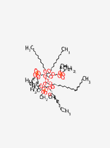 C=CCOP(=O)(OCC=C)OCCO[C@H]1O[C@H](CO[C@@H]2O[C@H](COC)[C@@H](OP(=O)(OCC=C)OCC=C)[C@H](OCC[C@H](CCCCCCC)OC)[C@H]2OC(=O)CCCCCCCCC/C=C\CCCCCC)[C@@H](OCCOP(=O)(OCC=C)OCC=C)[C@H](OCCCCCCCCCCCC)[C@H]1OCCCCCCCCCCCC